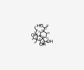 CCCCC(C)(CO)C(O)C1(C(C)O)CCC(C(C)O)CC1